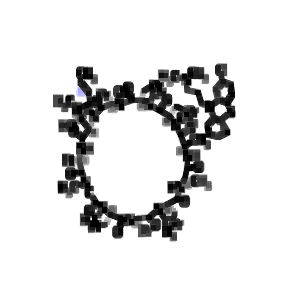 C/C=C/C[C@@H](C)[C@@H](O)[C@H]1C(=O)N[C@@H](CC)C(=O)N(C)CC(=O)N(C)[C@@H](CC(C)C)C(=O)N[C@@H](C(C)C)C(=O)N(C)[C@@H](CC(C)C)C(=O)N[C@@H](C)C(=O)N[C@H](C)C(=O)N(C)[C@@H](CC(C)C)C(=O)N(C)[C@@H](CC(C)C)C(=O)N(C)[C@@H](C(C)C)C(=O)N1C.CN(C)CCCN1c2ccccc2Sc2ccc(Cl)cc21